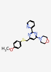 COc1ccc(SCc2cc(N3CCOCC3)nc(-c3ccccn3)n2)cc1